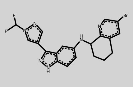 FC(F)n1cc(-c2n[nH]c3ccc(NC4CCCc5cc(Br)cnc54)cc23)cn1